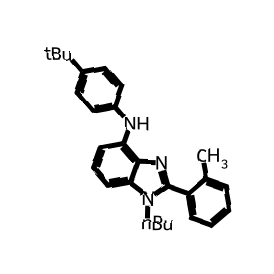 CCCCn1c(-c2ccccc2C)nc2c(Nc3ccc(C(C)(C)C)cc3)cccc21